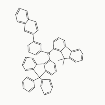 CC1(C)c2ccccc2-c2cccc(N(c3cccc(-c4ccc5ccccc5c4)c3)c3cccc4c3-c3ccccc3C4(c3ccccc3)c3ccccc3)c21